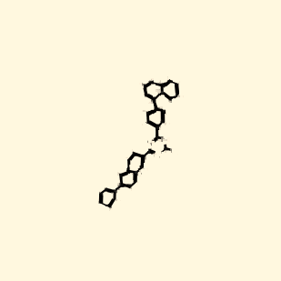 ClC1N=C(c2ccc3cc(-c4ccccc4)ccc3c2)N=C(c2ccc(-c3cccc4ccccc34)cc2)N1